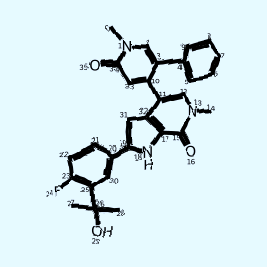 Cn1cc(-c2ccccc2)c(-c2cn(C)c(=O)c3[nH]c(-c4ccc(F)c(C(C)(C)O)c4)cc23)cc1=O